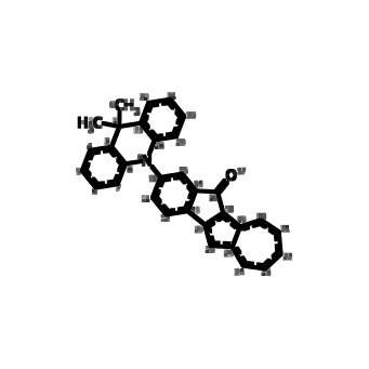 CC1(C)c2ccccc2N(c2ccc3c(c2)C(=O)c2c4cccccc-4cc2-3)c2ccccc21